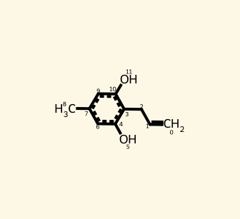 C=CCc1c(O)cc(C)cc1O